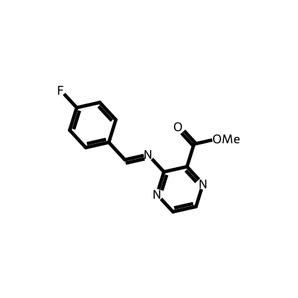 COC(=O)c1nccnc1/N=C/c1ccc(F)cc1